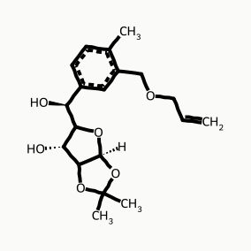 C=CCOCc1cc([C@H](O)C2O[C@H]3OC(C)(C)OC3[C@@H]2O)ccc1C